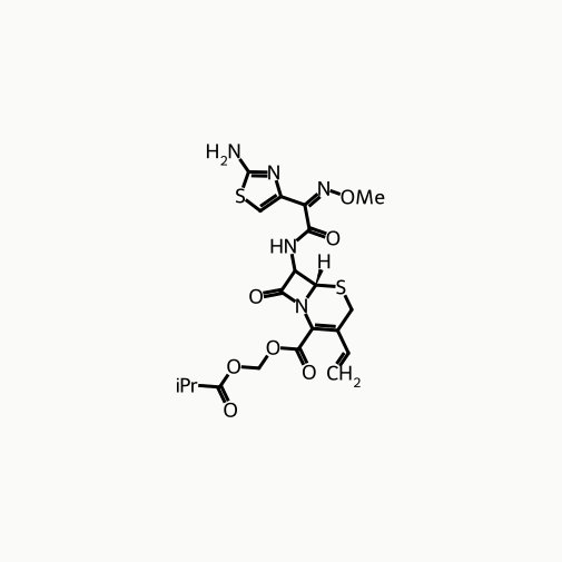 C=CC1=C(C(=O)OCOC(=O)C(C)C)N2C(=O)C(NC(=O)/C(=N\OC)c3csc(N)n3)[C@@H]2SC1